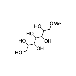 COCC(O)C(O)C(O)C(O)C(O)CO